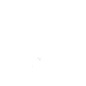 In1c2ccccc2c2cc3c(cc21)CCCC3